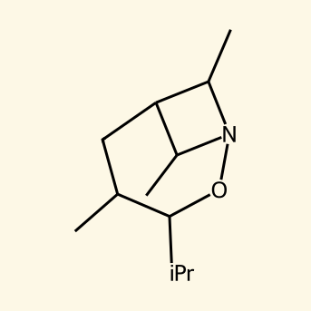 CC(C)C1ON2C(C)C(CC1C)C2C